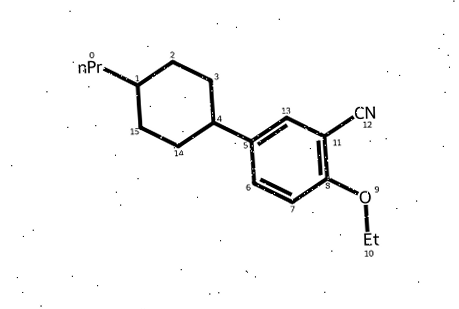 CCCC1CCC(c2ccc(OCC)c(C#N)c2)CC1